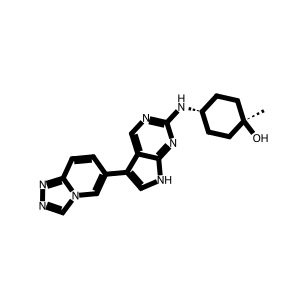 C[C@]1(O)CC[C@H](Nc2ncc3c(-c4ccc5nncn5c4)c[nH]c3n2)CC1